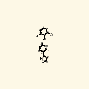 Fc1cccc(Cl)c1COc1ccc(-c2ccon2)cc1